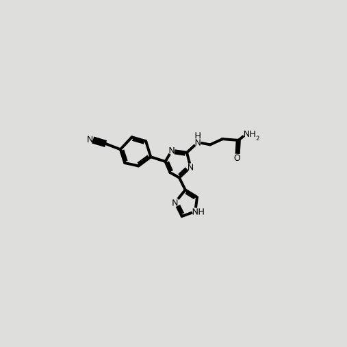 N#Cc1ccc(-c2cc(-c3c[nH]cn3)nc(NCCC(N)=O)n2)cc1